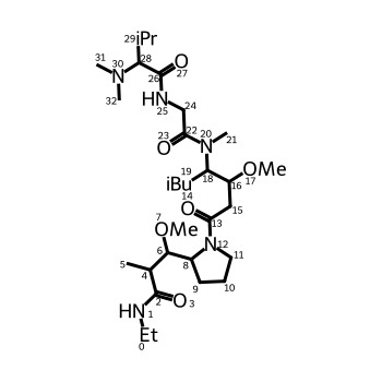 CCNC(=O)C(C)C(OC)C1CCCN1C(=O)CC(OC)C(C(C)CC)N(C)C(=O)CNC(=O)C(C(C)C)N(C)C